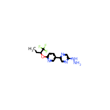 CCC(Oc1ccc(-c2cnc(NN)cn2)cn1)C(F)(F)F